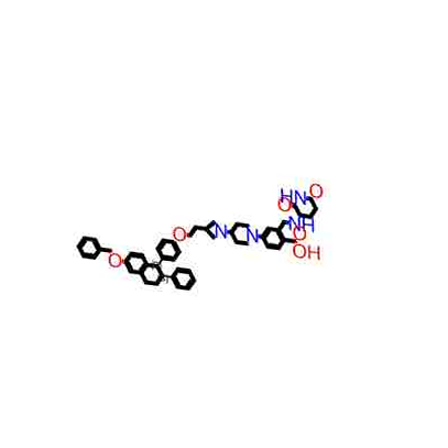 O=C1CCC(NCc2cc(N3CCC(N4CC(CCOc5ccc([C@@H]6c7ccc(OCc8ccccc8)cc7CC[C@@H]6c6ccccc6)cc5)C4)CC3)ccc2C(=O)O)C(=O)N1